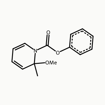 COC1(C)C=CC=CN1C(=O)Oc1ccccc1